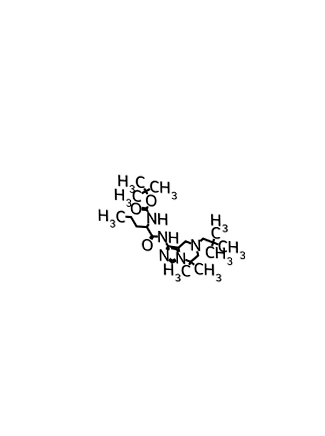 CCCC(NC(=O)OC(C)(C)C)C(=O)Nc1ncn2c1CN(CC(C)(C)C)CC2(C)C